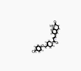 O=C1CCc2cc(/C=C/C(=O)N3CC=C(COc4ccc(Cl)cc4)CC3)cnc2N1